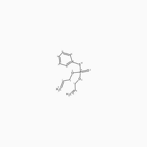 C=CCOP(=O)(OCC=C)Sc1ccccc1